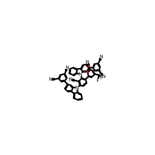 N#Cc1cc(C#N)cc(-c2ccc3c4ccccc4n(-c4ccc(-c5cc(C#N)cc(C(F)(F)F)c5)c(-n5c6ccccc6c6ccc(-c7cc(C#N)cc(C#N)c7)cc65)c4C#N)c3c2)c1